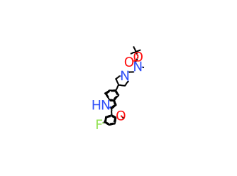 COc1ccc(F)cc1-c1cc2cc(C3CCN(CCN(C)C(=O)OC(C)(C)C)CC3)ccc2[nH]1